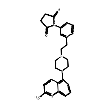 Cc1ccc2c(N3CCN(CCc4cccc(N5C(=O)CCC5=O)c4)CC3)cccc2n1